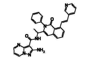 CC(NC(=O)c1c(N)nn2cccnc12)c1cc2cccc(/C=C/c3cccnc3)c2c(=O)n1-c1ccccc1